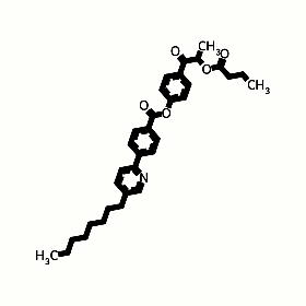 CCCCCCCCc1ccc(-c2ccc(C(=O)Oc3ccc(C(=O)C(C)OC(=O)CCC)cc3)cc2)nc1